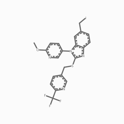 COc1ccc(-n2c(SCc3ccc(C(F)(F)F)nc3)nc3ccc(CI)cc32)cn1